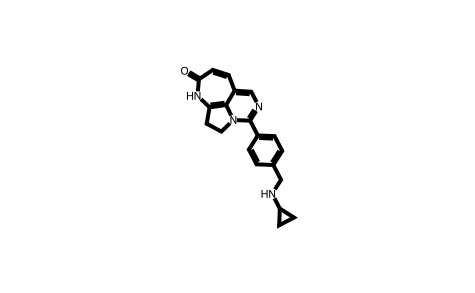 O=C1C=CC2=CN=C(c3ccc(CNC4CC4)cc3)N3CCC(=C23)N1